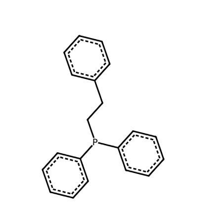 c1ccc(CCP(c2ccccc2)c2ccccc2)cc1